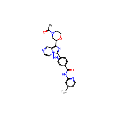 CC(C)C(=O)N1CCOC(C2=C3C=NC=C[N+]3(N)C(c3ccc(C(=O)Nc4cc(C(F)(F)F)ccn4)cc3)=N2)C1